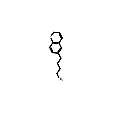 [CH2]CCCCc1ccc2c(c1)C=CCO2